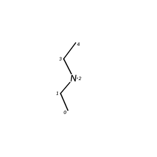 CC[N]CC